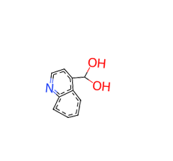 OC(O)c1ccnc2ccccc12